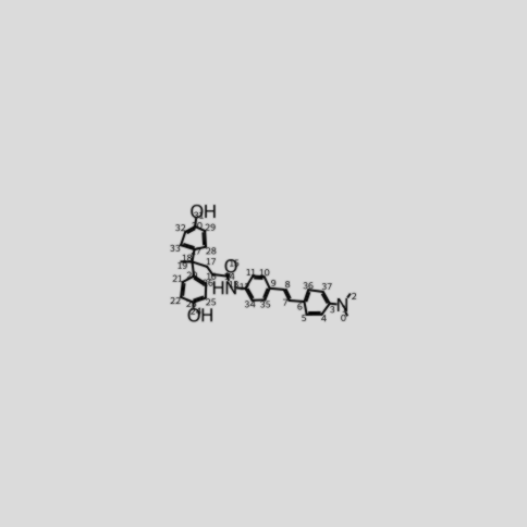 CN(C)c1ccc(/C=C/c2ccc(NC(=O)CCC(C)(c3ccc(O)cc3)c3ccc(O)cc3)cc2)cc1